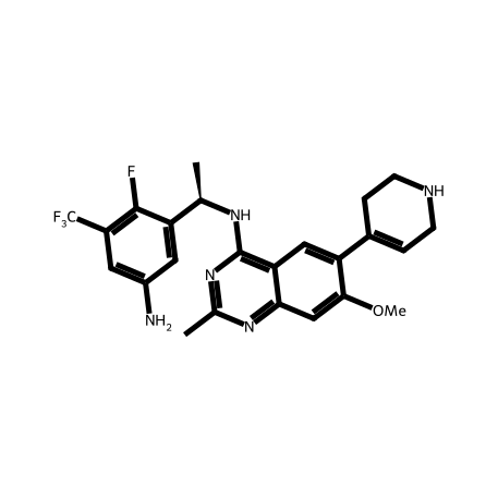 COc1cc2nc(C)nc(N[C@H](C)c3cc(N)cc(C(F)(F)F)c3F)c2cc1C1=CCNCC1